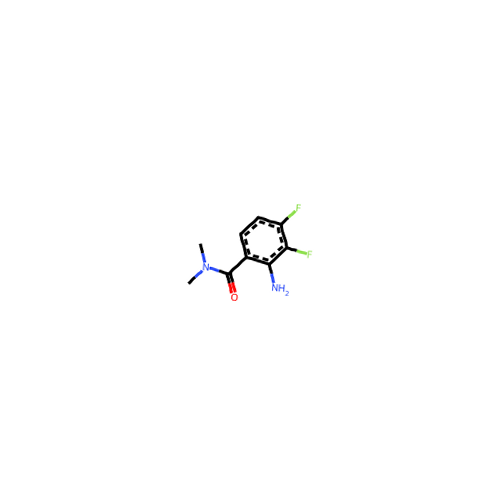 CN(C)C(=O)c1ccc(F)c(F)c1N